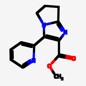 COC(=O)c1nc2n(c1-c1ccccn1)CCC2